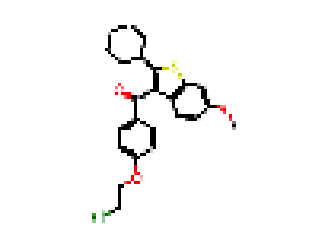 COc1ccc2c(C(=O)c3ccc(OCCCl)cc3)c(C3CCCCC3)sc2c1